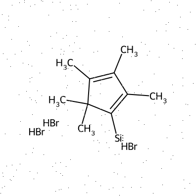 Br.Br.Br.CC1=C(C)C(C)(C)C([Si])=C1C